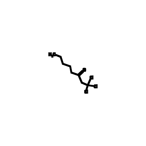 CCCCCC(=O)CC(Cl)(Cl)Cl